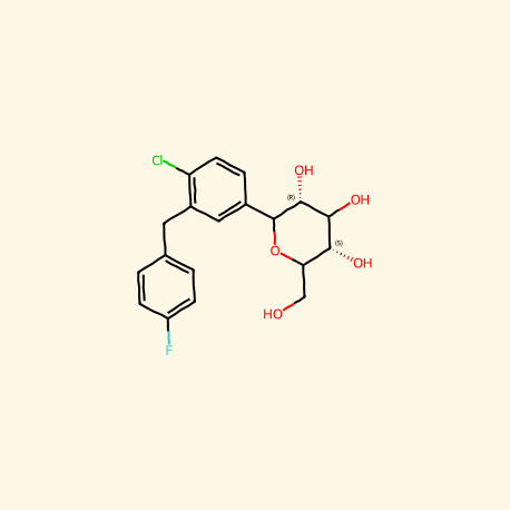 OCC1OC(c2ccc(Cl)c(Cc3ccc(F)cc3)c2)[C@H](O)C(O)[C@@H]1O